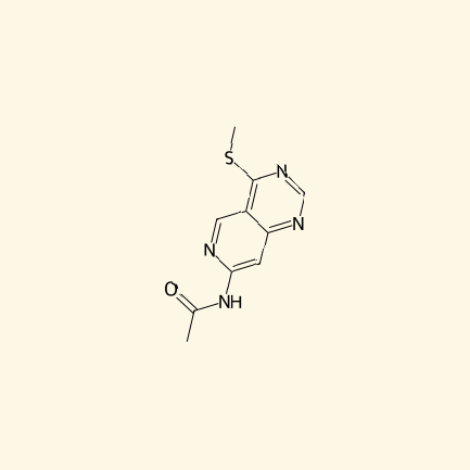 CSc1ncnc2cc(NC(C)=O)ncc12